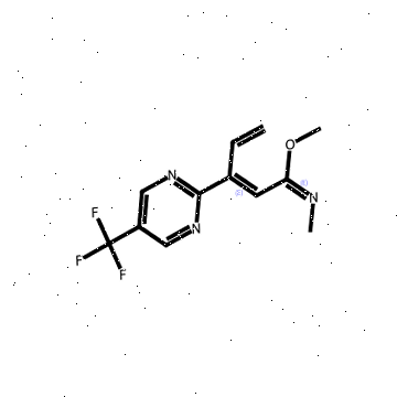 C=C/C(=C\C(=N/C)OC)c1ncc(C(F)(F)F)cn1